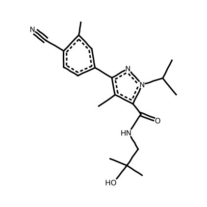 Cc1cc(-c2nn(C(C)C)c(C(=O)NCC(C)(C)O)c2C)ccc1C#N